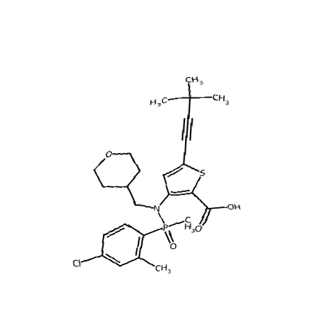 Cc1cc(Cl)ccc1P(C)(=O)N(CC1CCOCC1)c1cc(C#CC(C)(C)C)sc1C(=O)O